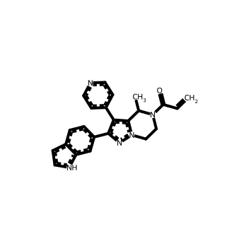 C=CC(=O)N1CCn2nc(-c3ccc4cc[nH]c4c3)c(-c3ccncc3)c2C1C